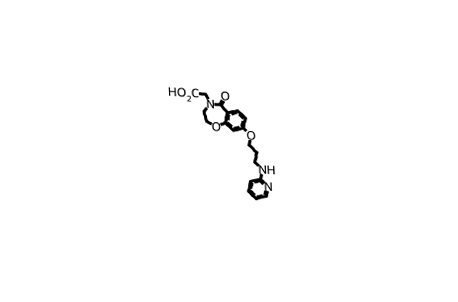 O=C(O)CN1CCOc2cc(OCCCNc3ccccn3)ccc2C1=O